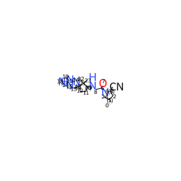 C[C@H]1C[C@@H](C#N)N(C(=O)CN[C@@H]2CC[C@](N)(Cn3cncn3)C2(C)C)C1